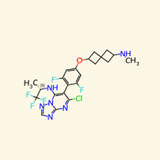 CNC1CC2(C1)CC(Oc1cc(F)c(-c3c(Cl)nc4ncnn4c3N[C@@H](C)C(F)(F)F)c(F)c1)C2